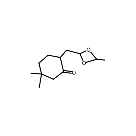 CC1OC(CC2CCC(C)(C)CC2=O)O1